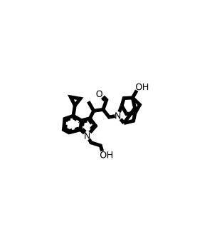 CC(c1cn(CCO)c2cccc(C3CC3)c12)C(C=O)CN1C2CC3CC1CC(O)(C3)C2